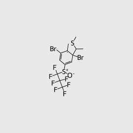 CSC(C)C1(Br)C=C([S+]([O-])C(F)(F)C(F)(F)C(F)(F)F)C=C(Br)[C]1C